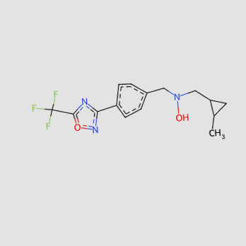 CC1CC1CN(O)Cc1ccc(-c2noc(C(F)(F)F)n2)cc1